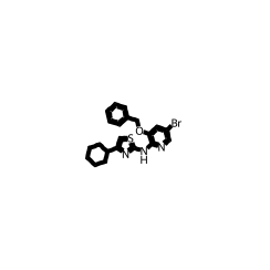 Brc1cnc(Nc2nc(C3CCCCC3)cs2)c(OCc2ccccc2)c1